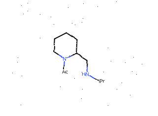 CC(=O)N1CCCCC1CNC(C)C